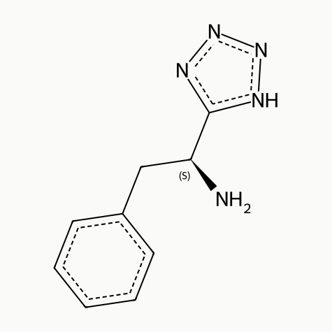 N[C@@H](Cc1ccccc1)c1nnn[nH]1